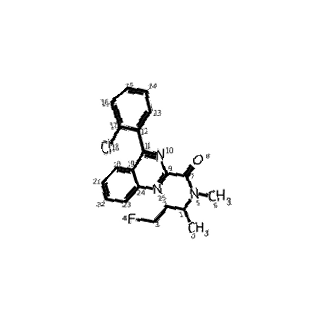 CC(CCF)N(C)C(=O)c1nc(-c2ccccc2Cl)c2ccccc2n1